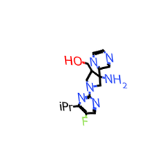 CC(C)c1nc(N2CC(CO)C(N)(c3cnccn3)C2)ncc1F